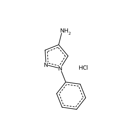 Cl.Nc1cnn(-c2ccccc2)c1